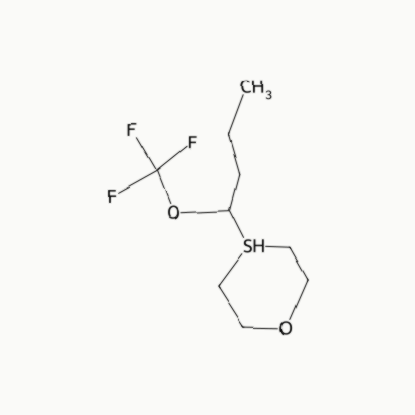 CCCC(OC(F)(F)F)[SH]1CCOCC1